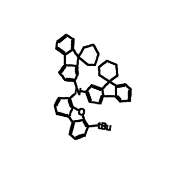 CC(C)(C)c1cccc2c1oc1c(N(c3ccc4c(c3)C3(CCCCC3)c3ccccc3-4)c3ccc4c(c3)C3(CCCCC3)c3ccccc3-4)cccc12